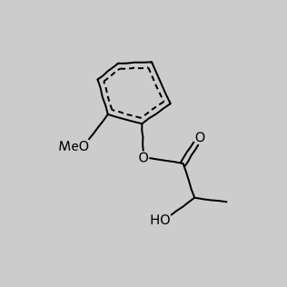 COc1ccccc1OC(=O)C(C)O